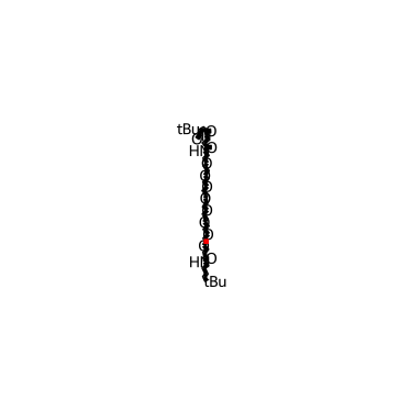 CC(C)(C)CCCCNC(=O)CCOCCOCCOCCOCCOCCOCCOCCOCCNC(=O)CCN1C(=O)CC(C(C)(C)C)C1=O